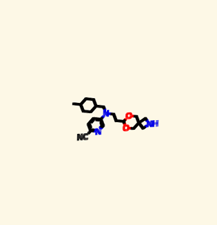 CC1CCC(CN(CCC2OCC3(CNC3)CO2)c2ccc(C#N)nc2)CC1